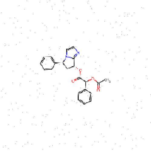 CC(=O)O[C@H](C(=O)O[C@@H]1C[C@@H](c2ccccc2)n2ccnc21)c1ccccc1